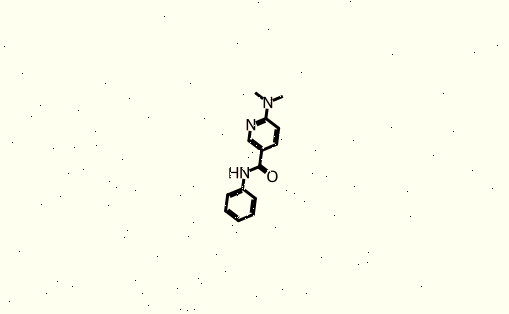 CN(C)c1ccc(C(=O)Nc2ccccc2)cn1